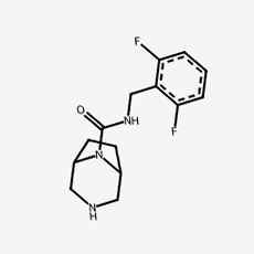 O=C(NCc1c(F)cccc1F)N1C2CCC1CNC2